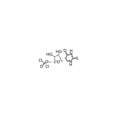 O=c1[nH]c(=S)[nH]cc1[C@@H]1O[C@H](COP(=O)(Cl)Cl)C(O)C1O